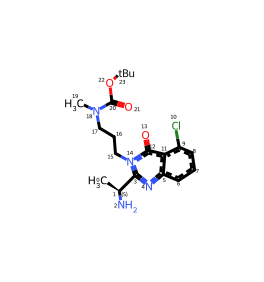 C[C@H](N)c1nc2cccc(Cl)c2c(=O)n1CCCN(C)C(=O)OC(C)(C)C